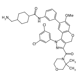 COc1cc2c(cc1-c1cccc(NC(=O)C3CCC(CN)CC3)c1)-c1c(c(C(=O)N3CCOCC3(C)C)nn1-c1cc(Cl)cc(Cl)c1)CO2